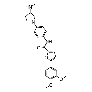 CNC1CCN(c2ccc(NC(=O)c3ccc(-c4ccc(OC)c(OC)c4)o3)cc2)C1